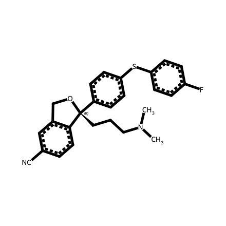 CN(C)CCC[C@]1(c2ccc(Sc3ccc(F)cc3)cc2)OCc2cc(C#N)ccc21